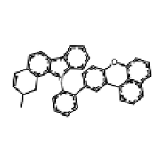 CC1C=Cc2ccc3c4ccccc4n(-c4ccccc4-c4ccc5c(c4)-c4cccc6cccc(c46)O5)c3c2C1